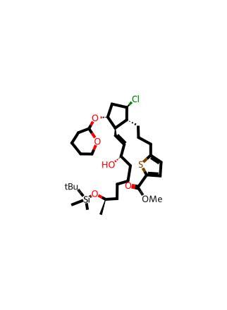 COC(=O)c1ccc(CCC[C@@H]2[C@@H](/C=C/[C@@H](O)CCCC[C@@H](C)O[Si](C)(C)C(C)(C)C)[C@H](OC3CCCCO3)C[C@H]2Cl)s1